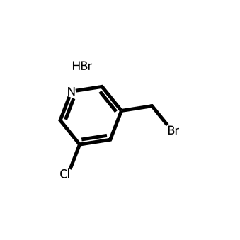 Br.Clc1cncc(CBr)c1